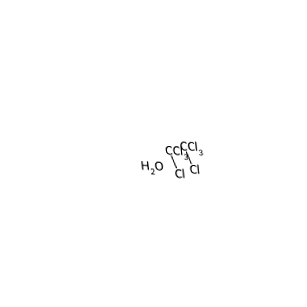 ClC(Cl)(Cl)Cl.ClC(Cl)(Cl)Cl.O